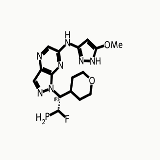 COc1cc(Nc2cnc3cnn([C@@H](C(F)P)C4CCOCC4)c3n2)n[nH]1